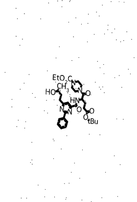 CCOC(=O)N1CCN(C(=O)C(CCC(=O)OC(C)(C)C)NC(=O)c2cc(CC[C@H](C)O)nc(-c3ccccc3)n2)CC1